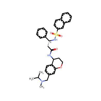 CC(C)N(C)Cc1ccc2c(c1)OCCC2NC(=O)C[C@@H](NS(=O)(=O)c1ccc2ccccc2c1)c1ccccc1